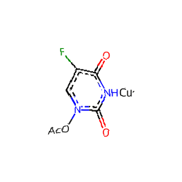 CC(=O)On1cc(F)c(=O)[nH]c1=O.[Cu]